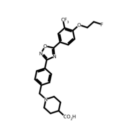 O=C(O)C1CCN(Cc2ccc(-c3noc(-c4ccc(OCCF)c(C(F)(F)F)c4)n3)cc2)CC1